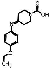 CCOc1ccc(N=C2CCN(C(=O)O)CC2)cc1